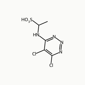 CC(Nc1nnnc(Cl)c1Cl)S(=O)(=O)O